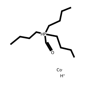 CCCC[PH](C=O)(CCCC)CCCC.[Co].[H+]